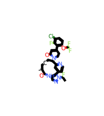 CC(F)n1ncc2c1-c1ccnc(c1)[C@@H](N1CCC(c3c(OC(F)F)ccc(Cl)c3F)=CC1=O)CCC[C@@H](C)C(=O)N2